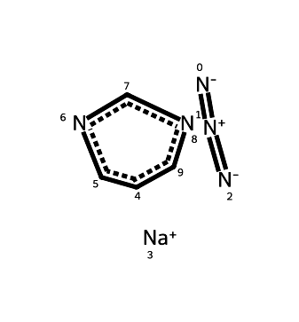 [N-]=[N+]=[N-].[Na+].c1cncnc1